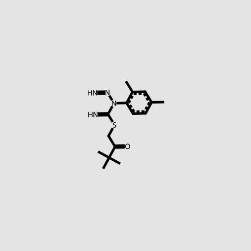 Cc1ccc(N(N=N)C(=N)SCC(=O)C(C)(C)C)c(C)c1